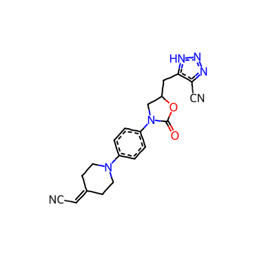 N#CC=C1CCN(c2ccc(N3CC(Cc4[nH]nnc4C#N)OC3=O)cc2)CC1